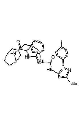 Cc1ccc(-n2nc(C(C)(C)C)cc2NC(=O)Nc2cccc(CC3CC4CCC(C3)N4C(=O)C3CCC(=O)N3)c2)cc1